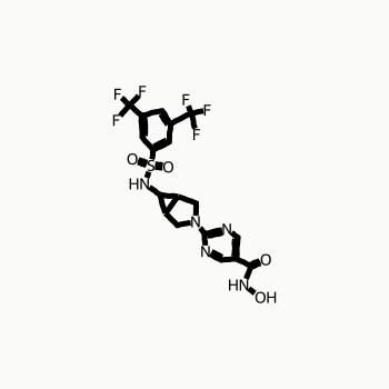 O=C(NO)c1cnc(N2CC3C(C2)C3NS(=O)(=O)c2cc(C(F)(F)F)cc(C(F)(F)F)c2)nc1